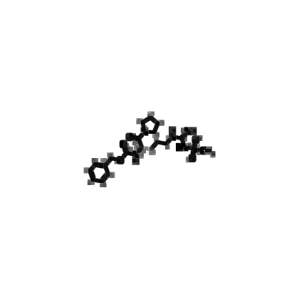 CS(=O)(=O)NC(=N)NCCC[C@H](NC(=O)OCc1ccccc1)C(=O)N1CCCC1